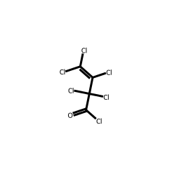 O=C(Cl)C(Cl)(Cl)C(Cl)=C(Cl)Cl